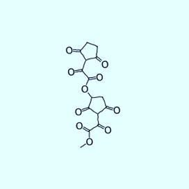 COC(=O)C(=O)C1C(=O)CC(OC(=O)C(=O)C2C(=O)CCC2=O)C1=O